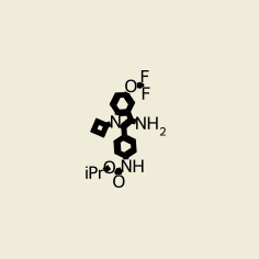 CC(C)OC(=O)Nc1ccc(-c2c(N)c3cc(OC(F)F)ccc3n2C2CCC2)cc1